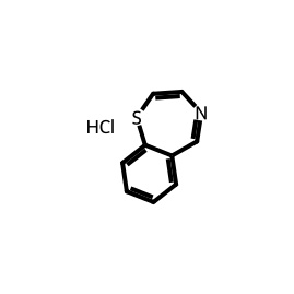 C1=CSc2ccccc2C=N1.Cl